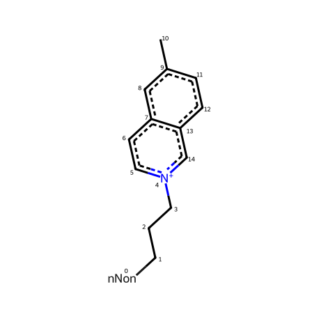 CCCCCCCCCCCC[n+]1ccc2cc(C)ccc2c1